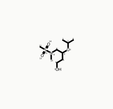 CC(C)OC(CCO)CN(C)S(C)(=O)=O